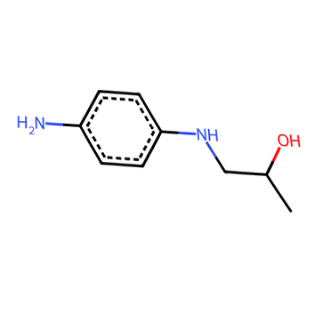 CC(O)CNc1ccc(N)cc1